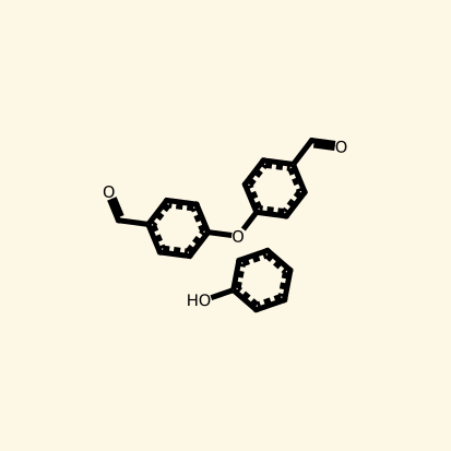 O=Cc1ccc(Oc2ccc(C=O)cc2)cc1.Oc1ccccc1